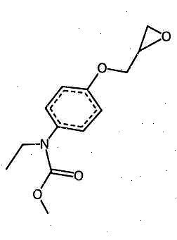 CCN(C(=O)OC)c1ccc(OCC2CO2)cc1